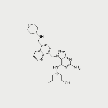 CCC[C@@H](CCO)Nc1nc(N)nc2cnn(Cc3ccc(CNC4CCOCC4)c4cccnc34)c12